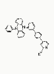 N#Cc1cc(-c2ccc(-c3cccc(N4c5ccccc5N(c5ccccc5)c5ccccc54)c3)cc2)ccn1